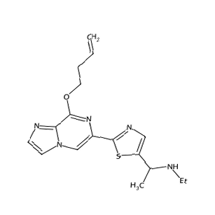 C=CCCOc1nc(-c2ncc(C(C)NCC)s2)cn2ccnc12